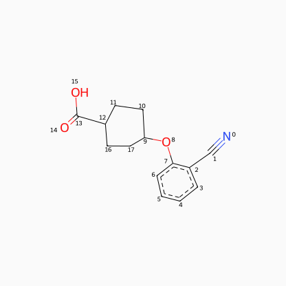 N#Cc1ccccc1OC1CCC(C(=O)O)CC1